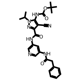 CC(C)n1nc(C(=O)Nc2cncc(NC(=O)Cc3ccccc3)c2)c(C#N)c1NC(=O)OC(C)(C)C